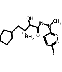 CN(NC(=O)C(O)[C@H](N)CC1CCCCC1)c1ccc(Cl)nn1